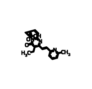 CCc1c(/C=C/c2cccc(C)n2)nc2n(c1=O)C1CC1(C(=O)O)C=C2